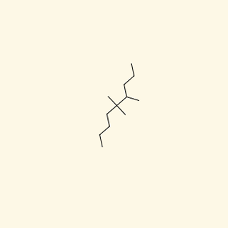 CCCCC(C)(C)C(C)CCC